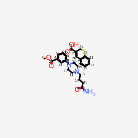 COC(=O)c1cccc(N2CCN(CCCC(N)=O)CC2)c1.O=C(O)C1=Cc2ccccc2SC1